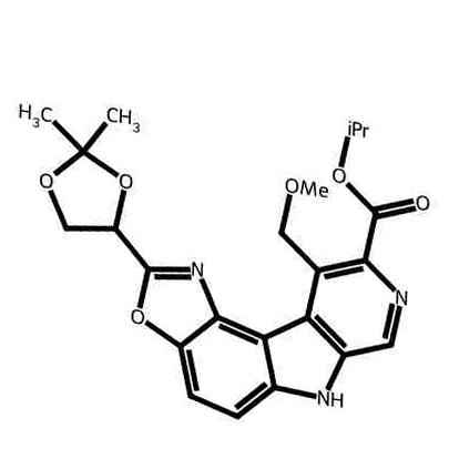 COCc1c(C(=O)OC(C)C)ncc2[nH]c3ccc4oc(C5COC(C)(C)O5)nc4c3c12